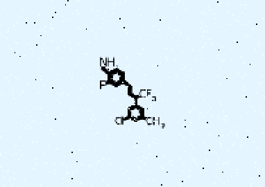 Cc1cc(Cl)cc(C(/C=C/c2ccc(CN)c(F)c2)C(F)(F)F)c1